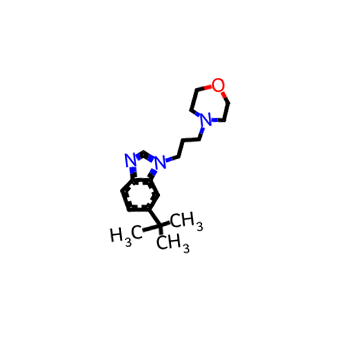 CC(C)(C)c1ccc2ncn(CCCN3CCOCC3)c2c1